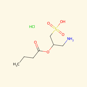 CCCC(=O)OC(CN)CS(=O)(=O)O.Cl